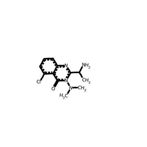 CC(N)c1nc2cccc(Cl)c2c(=O)n1N(C)C